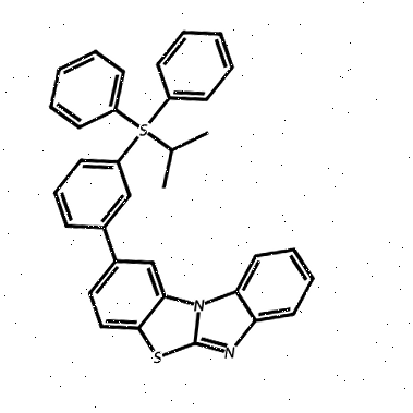 CC(C)S(c1ccccc1)(c1ccccc1)c1cccc(-c2ccc3sc4nc5ccccc5n4c3c2)c1